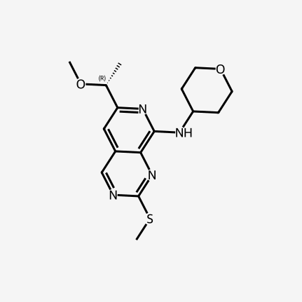 CO[C@H](C)c1cc2cnc(SC)nc2c(NC2CCOCC2)n1